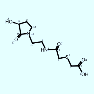 O=C(O)CSCC(=O)NCCN1CC[C@H](O)C1=O